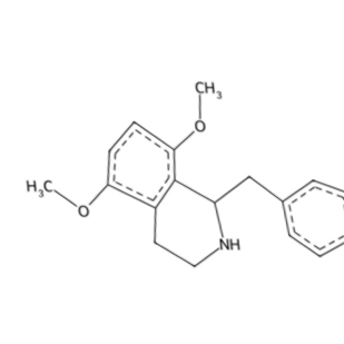 COc1ccc(OC)c2c1CCNC2Cc1ccccc1